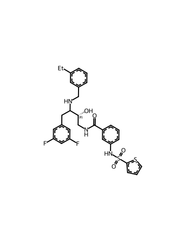 CCc1cccc(CNC(Cc2cc(F)cc(F)c2)[C@H](O)CNC(=O)c2cccc(NS(=O)(=O)c3cccs3)c2)c1